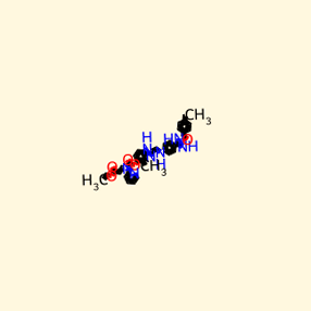 CCOC(=O)CCN(C(=O)Oc1ccc2[nH]c(CNc3ccc(C(=N)NC(=O)c4ccc(CC)cc4)cc3)nc2c1C)c1ccccn1